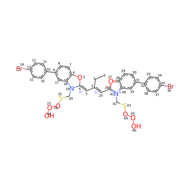 CCC(/C=C1\Oc2ccc(-c3ccc(Br)cc3)cc2N1CSOOO)=C\c1oc2ccc(-c3ccc(Br)cc3)cc2[n+]1CSOOO